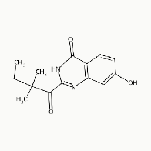 CCC(C)(C)C(=O)c1nc2cc(O)ccc2c(=O)[nH]1